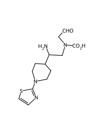 NC(CN(CC=O)C(=O)O)C1CCN(c2nccs2)CC1